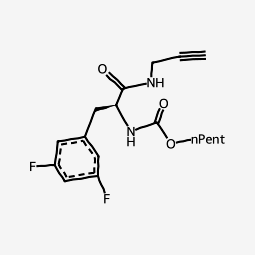 C#CCNC(=O)[C@H](Cc1cc(F)cc(F)c1)NC(=O)OCCCCC